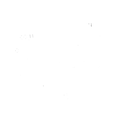 CN(C)CC/C=C1/c2cc(OC(=O)O)ccc2COc2ccccc21